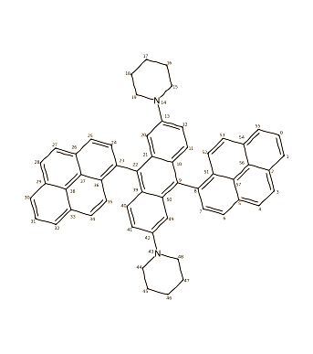 c1cc2ccc3ccc(-c4c5ccc(N6CCCCC6)cc5c(-c5ccc6ccc7cccc8ccc5c6c78)c5ccc(N6CCCCC6)cc45)c4ccc(c1)c2c34